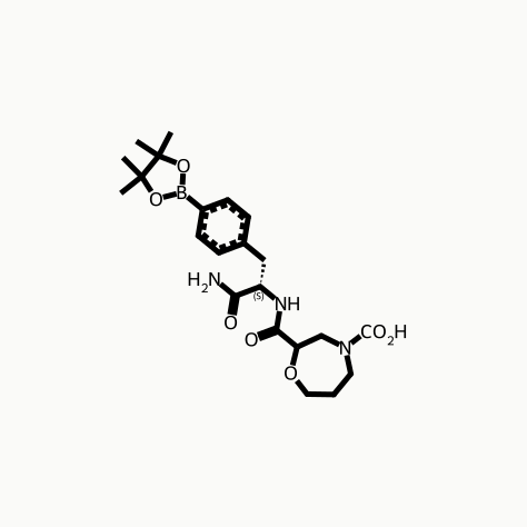 CC1(C)OB(c2ccc(C[C@H](NC(=O)C3CN(C(=O)O)CCCO3)C(N)=O)cc2)OC1(C)C